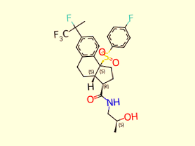 C[C@H](O)CNC(=O)[C@@H]1CC[C@@]2(S(=O)(=O)c3ccc(F)cc3)c3ccc(C(C)(F)C(F)(F)F)cc3CC[C@@H]12